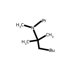 CCC(C)CC(C)(C)N(C)C(C)C